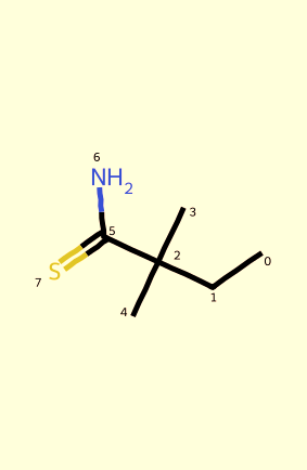 CCC(C)(C)C(N)=S